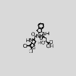 O=C(C[C@@H](O)C(=O)O)N[C@H]1c2ccccc2C[C@H]1NC(=O)c1cc2sc(Cl)c(Cl)c2[nH]1